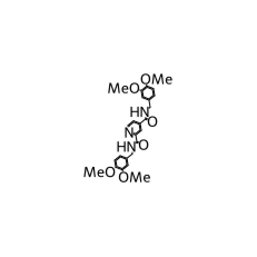 COc1ccc(CNC(=O)c2ccnc(C(=O)NCc3ccc(OC)c(OC)c3)c2)cc1OC